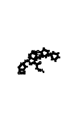 COc1ccc(Cn2nc(C(=O)CN)c3c(Nc4cc(-c5ccccc5)ccc4OC)ncnc32)cc1